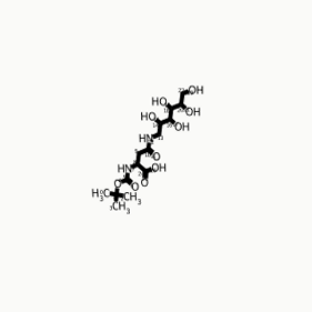 CC(C)(C)OC(=O)NC(CC(=O)NCC(O)C(O)C(O)C(O)CO)C(=O)O